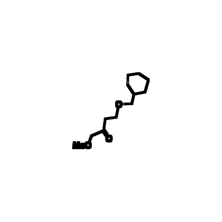 COCC(=O)CCOCC1CCCCC1